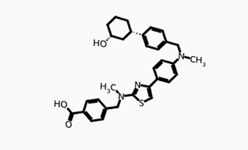 CN(Cc1ccc([C@H]2CCC[C@@H](O)C2)cc1)c1ccc(-c2csc(N(C)Cc3ccc(C(=O)O)cc3)n2)cc1